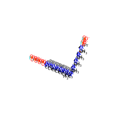 CCCn1cc[n+](C)c1.CCCn1cc[n+](C)c1.CCCn1cc[n+](C)c1.CCCn1cc[n+](C)c1.CCCn1cc[n+](C)c1.CCCn1cc[n+](C)c1.CCCn1cc[n+](C)c1.CCCn1cc[n+](C)c1.CCCn1cc[n+](C)c1.CCCn1cc[n+](C)c1.CCCn1cc[n+](C)c1.CCCn1cc[n+](C)c1.O=P([O-])([O-])F.O=P([O-])([O-])F.O=P([O-])([O-])F.O=P([O-])([O-])F.O=P([O-])([O-])F.O=P([O-])([O-])F